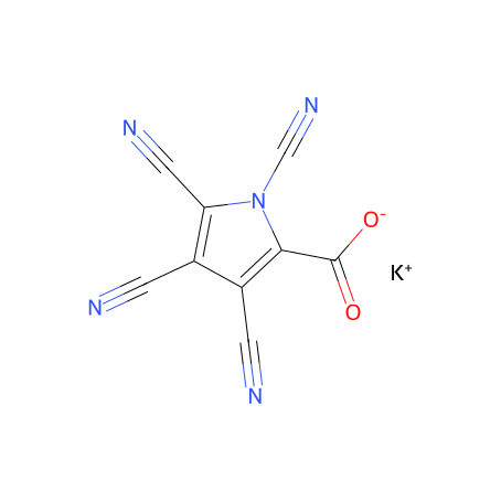 N#Cc1c(C#N)c(C(=O)[O-])n(C#N)c1C#N.[K+]